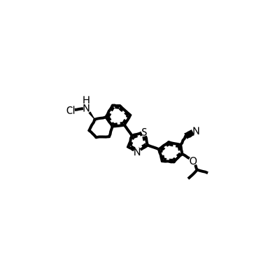 CC(C)Oc1ccc(-c2ncc(-c3cccc4c3CCC[C@H]4NCl)s2)cc1C#N